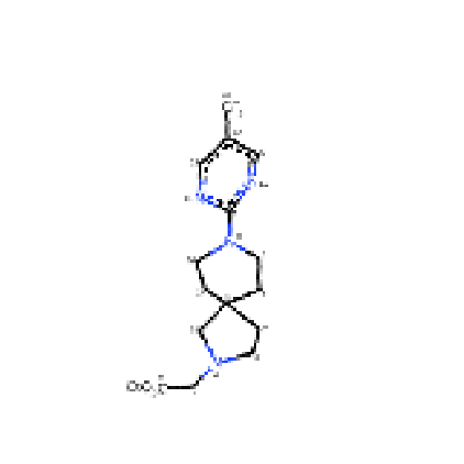 CCOC(=O)CN1CCC2(CCN(c3ncc(C(F)(F)F)cn3)CC2)C1